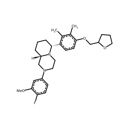 COc1cc(N2CCN3[C@@H](CCC[C@@H]3c3ccc(OCC4CCCO4)c(C)c3C)C2)ccc1F